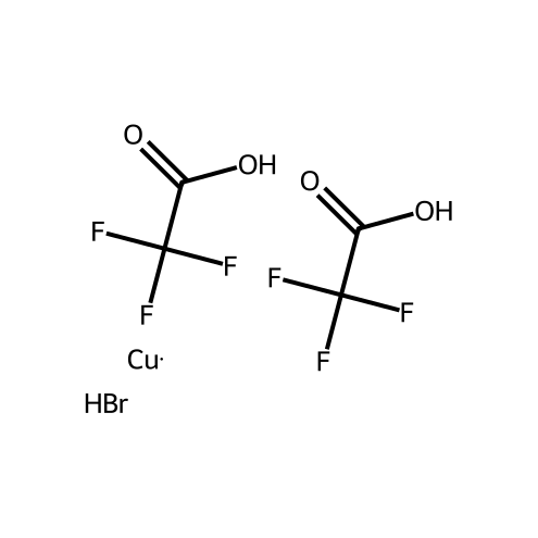 Br.O=C(O)C(F)(F)F.O=C(O)C(F)(F)F.[Cu]